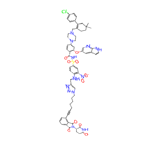 CC1(C)CCC(CN2CCN(c3ccc(C(=O)NS(=O)(=O)c4ccc(NCc5cn(CCCCCC#Cc6cccc7c6C(=O)N(C6CCC(=O)NC6=O)C7=O)nn5)c([N+](=O)[O-])c4)c(Oc4cnc5[nH]ccc5c4)c3)CC2)=C(c2ccc(Cl)cc2)C1